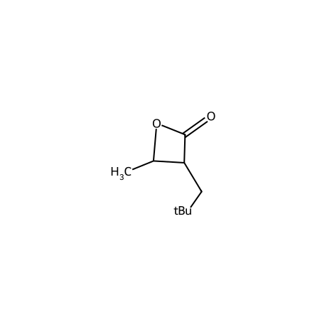 CC1OC(=O)C1CC(C)(C)C